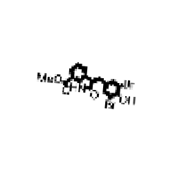 COC(=O)c1cccc2c1NC(=O)/C2=C\c1cc(Br)c(O)c(Br)c1